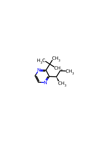 CC[C@@H](C)c1nccnc1C(C)(C)C